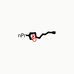 C#CCCCCC12CCC(CCC)(CO1)CO2